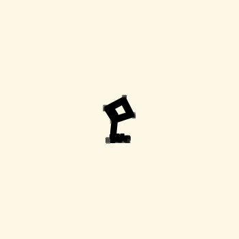 [CH2]SC1=CCC1